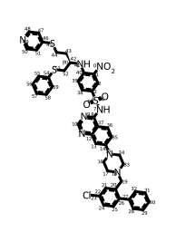 O=[N+]([O-])c1cc(S(=O)(=O)Nc2ncnc3cc(N4CCN(Cc5cc(Cl)ccc5-c5ccccc5)CC4)ccc23)ccc1N[C@H](CCSc1ccncc1)CSc1ccccc1